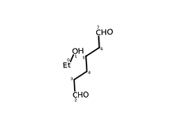 CCO.O=CCCCCC=O